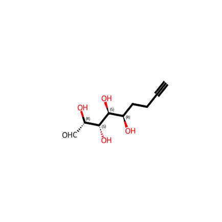 C#CCC[C@@H](O)[C@H](O)[C@H](O)[C@@H](O)C=O